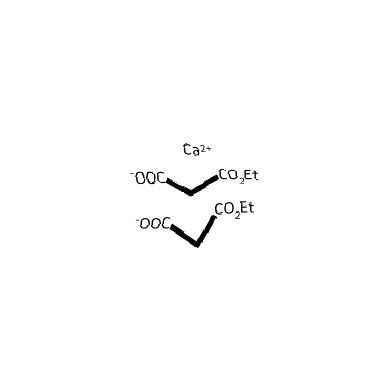 CCOC(=O)CC(=O)[O-].CCOC(=O)CC(=O)[O-].[Ca+2]